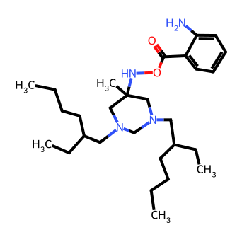 CCCCC(CC)CN1CN(CC(CC)CCCC)CC(C)(NOC(=O)c2ccccc2N)C1